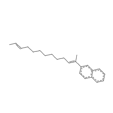 CC=CCCCCCCCC=C(C)c1ccc2ccccc2c1